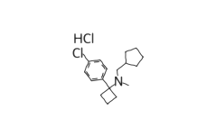 CN(CC1CCCC1)C1(c2ccc(Cl)cc2)CCC1.Cl